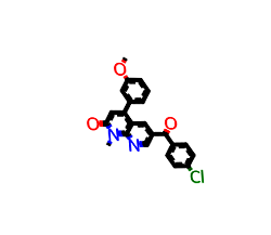 COc1cccc(-c2cc(=O)n(C)c3ncc(C(=O)c4ccc(Cl)cc4)cc23)c1